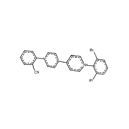 CC(C)c1cccc(C(C)C)c1-[n+]1ccc(-c2cc[n+](-c3ccccc3C#N)cc2)cc1